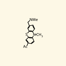 CNCc1ccc2c(c1)Sc1cc(C(C)=O)ccc1N2C